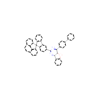 c1ccc(-c2ccc(C3=NC(c4ccc5c(c4)-c4ccccc4C54c5cccc6ccc7cccc4c7c56)=NC4c5ccccc5OC34)cc2)cc1